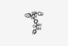 O=C(Nc1ccncc1)Nc1ccc(-c2nc(NC3CCOCC3)cc(N3C4CCC3COC4)n2)cc1